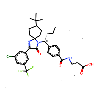 CCC[C@H](c1ccc(C(=O)NCCC(=O)O)cc1)N1C(=O)C(c2cc(Cl)cc(C(F)(F)F)c2)=NC12CCC(C(C)(C)C)CC2